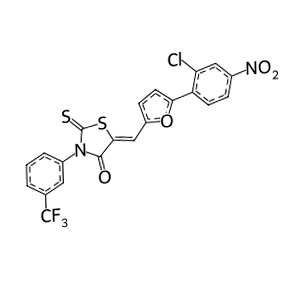 O=C1C(=Cc2ccc(-c3ccc([N+](=O)[O-])cc3Cl)o2)SC(=S)N1c1cccc(C(F)(F)F)c1